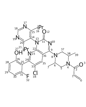 C=CC(=O)N1CC(C)N(c2nc(=O)n(-c3c(C(C)C)ncnc3C(C)C)c3nc(-c4c(O)cccc4F)c(Cl)cc23)CC1C